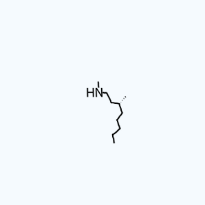 CCCCC[C@@H](C)CCNC